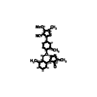 COc1c(C#N)c(-c2ccc(OCc3c(C)cccc3-n3nnn(C)c3=O)c(C)c2)nn1C